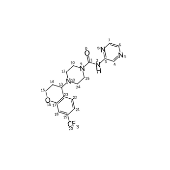 O=C(Nc1cnccn1)N1CCN(C2CCOc3cc(C(F)(F)F)ccc32)CC1